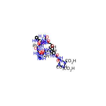 CSCC[C@H](NC(=O)[C@H](CC(C)C)NC(=O)[C@H](Cc1c[nH]cn1)NC(=O)CNC(=O)[C@@H](NC(=O)[C@H](C)NC(=O)[C@H](Cc1c[nH]c2ccccc12)NC(=O)[C@H](CCC(N)=O)NC(=O)CC[C@@H](C)[C@H]1CCC2C3CC[C@@H]4C[C@@H](NC(=O)CNC(=O)CN5CCN(CC(=O)O)CCN(CC(=O)O)CCN(CC(=O)O)CC5)CC[C@]4(C)C3C[C@@H]3O[C@@]231)C(C)C)C(N)=O